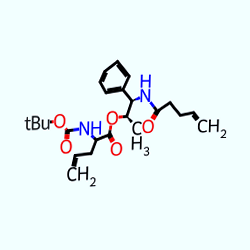 C=CCCC(=O)N[C@H](c1ccccc1)[C@@H](C)OC(=O)C(CC=C)NC(=O)OC(C)(C)C